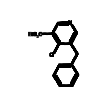 CCOC(=O)c1cncc(Cc2ccccc2)c1Cl